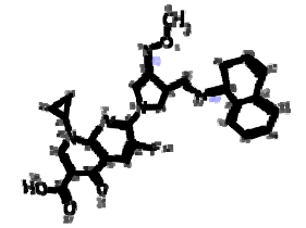 CO/N=C1/CN(c2nc3c(cc2F)c(=O)c(C(=O)O)cn3C2CC2)CC1C/N=C1\CC=Cc2ccccc21